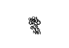 CS(=O)(=O)N1CCC[C@@H]1n1c([C@@H]2CCCN2c2ncnc3[nH]cnc23)nc2cccc(Cl)c2c1=O